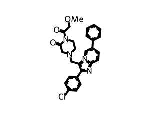 COCC(=O)N1CCN(Cc2c(-c3ccc(Cl)cc3)nc3ccc(-c4ccccc4)cn23)CC1=O